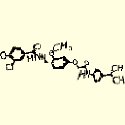 COc1cc(OCC(=O)Nc2ccc(C(C)C)cc2)ccc1C=NNC(=O)c1ccc(O)c(Cl)c1